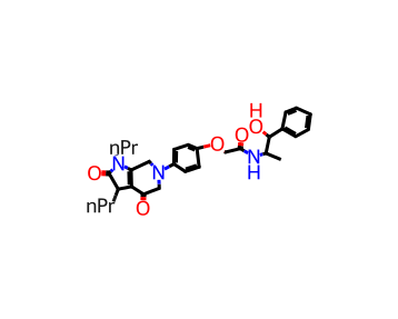 CCCC1C(=O)N(CCC)C2=C1C(=O)CN(c1ccc(OCC(=O)NC(C)C(O)c3ccccc3)cc1)C2